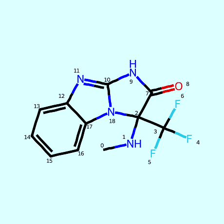 CNC1(C(F)(F)F)C(=O)Nc2nc3ccccc3n21